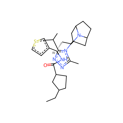 CCC1CCC(C(=O)N[C@@H](CCN2C3CCC2CC(n2c(C)nnc2C(C)C)C3)c2ccsc2)C1